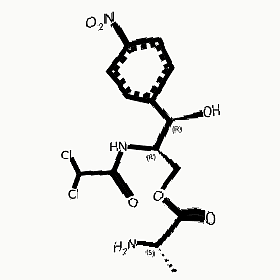 C[C@H](N)C(=O)OC[C@@H](NC(=O)C(Cl)Cl)[C@H](O)c1ccc([N+](=O)[O-])cc1